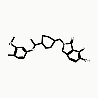 COc1cc(OC(C)C2CCC(CN3Cc4ccc(O)c(F)c4C3=O)CC2)ccc1C